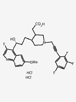 COc1ccc2ncc(F)c([C@H](O)CCC3CCN(CC#Cc4cc(F)cc(F)c4F)CC3CC(=O)O)c2c1.Cl.Cl